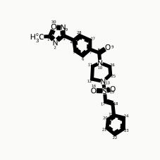 Cc1nc(-c2ccc(C(=O)N3CCN(S(=O)(=O)/C=C/c4ccccc4)CC3)cc2)no1